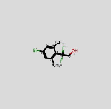 Cc1cc(Br)cc(C)c1C(F)(F)CO